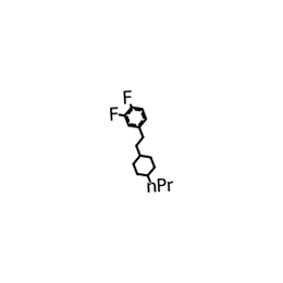 CCCC1CCC(CCc2ccc(F)c(F)c2)CC1